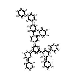 C1=CN2B(C=C1c1nc(-c3cccc(-c4ccccc4)c3)nc(-c3cc(-c4ccccc4)cc(-c4ccccc4)c3)n1)c1ccccc1-c1cc(-c3cccc(-c4ccccc4)c3)ccc12